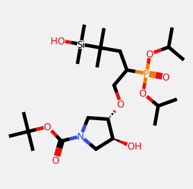 CC(C)OP(=O)(OC(C)C)C(CO[C@H]1CN(C(=O)OC(C)(C)C)C[C@@H]1O)CC(C)(C)[Si](C)(C)O